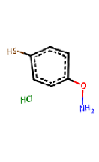 Cl.NOc1ccc(S)cc1